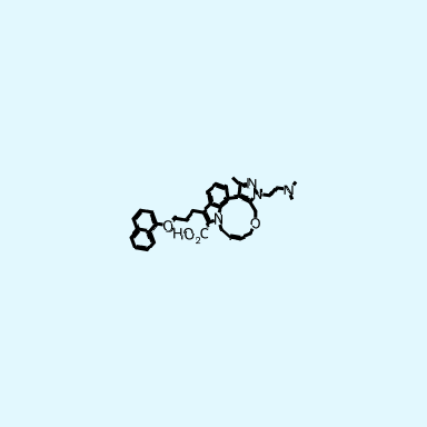 Cc1nn(CCN(C)C)c2c1-c1cccc3c(CCCOc4cccc5ccccc45)c(C(=O)O)n(c13)C/C=C\COC2